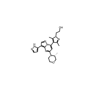 Cc1nn(CCO)c(C)c1-c1cc(N2CCOC[C@H]2C)nc2c(-c3ccn[nH]3)cnn12